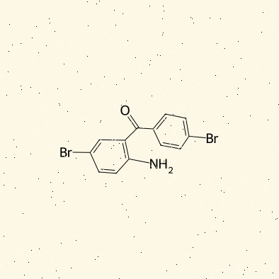 Nc1ccc(Br)cc1C(=O)c1ccc(Br)cc1